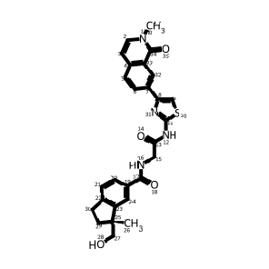 Cn1ccc2ccc(-c3csc(NC(=O)CNC(=O)c4ccc5c(c4)[C@](C)(CO)CC5)n3)cc2c1=O